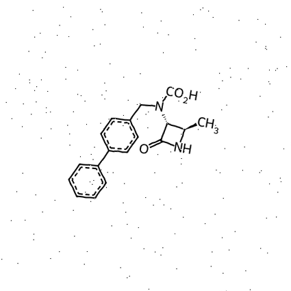 C[C@H]1NC(=O)[C@@H]1N(Cc1ccc(-c2ccccc2)cc1)C(=O)O